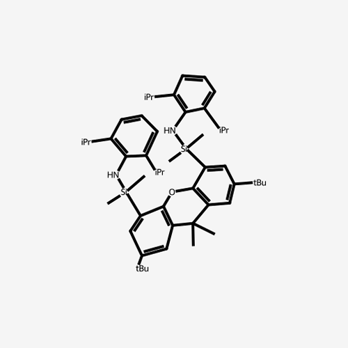 CC(C)c1cccc(C(C)C)c1N[Si](C)(C)c1cc(C(C)(C)C)cc2c1Oc1c(cc(C(C)(C)C)cc1[Si](C)(C)Nc1c(C(C)C)cccc1C(C)C)C2(C)C